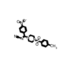 Cc1ccc(S(=O)(=O)N2CCN(C(=NC#N)c3ccc([N+](=O)[O-])cc3)CC2)cc1